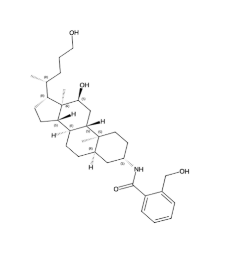 C[C@H](CCCO)[C@H]1CC[C@H]2[C@@H]3CC[C@@H]4C[C@@H](NC(=O)c5ccccc5CO)CC[C@]4(C)[C@H]3C[C@H](O)[C@]12C